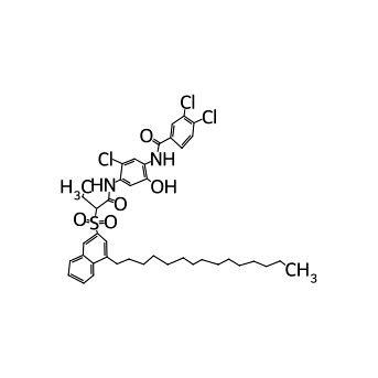 CCCCCCCCCCCCCCCc1cc(S(=O)(=O)C(CC)C(=O)Nc2cc(O)c(NC(=O)c3ccc(Cl)c(Cl)c3)cc2Cl)cc2ccccc12